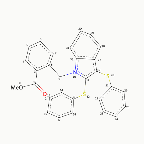 COC(=O)c1ccccc1Cn1c(Sc2ccccc2)c(Sc2ccccc2)c2ccccc21